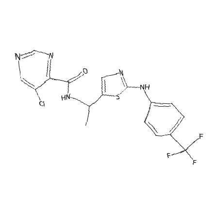 CC(NC(=O)c1ncncc1Cl)c1cnc(Nc2ccc(C(F)(F)F)cc2)s1